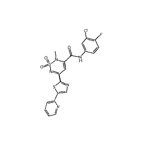 CN1C(C(=O)Nc2ccc(F)c(Cl)c2)=CC(c2ncc(-c3ccccn3)s2)=NS1(=O)=O